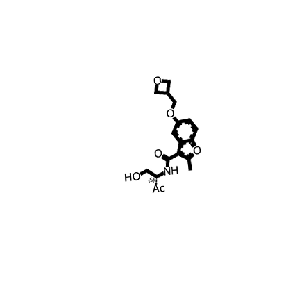 CC(=O)[C@H](CO)NC(=O)c1c(C)oc2ccc(OCC3COC3)cc12